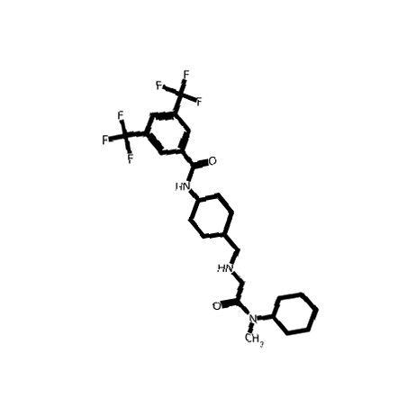 CN(C(=O)CNCC1CCC(NC(=O)c2cc(C(F)(F)F)cc(C(F)(F)F)c2)CC1)C1CCCCC1